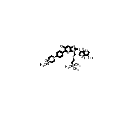 CN=S1(=O)CCN(c2ccc(-c3nc4c(cc3Cl)nc(O[C@@H]3CO[C@H]5[C@@H]3OC[C@H]5O)n4COCC[Si](C)(C)C)cc2)CC1